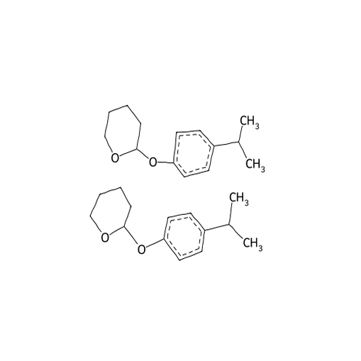 CC(C)c1ccc(OC2CCCCO2)cc1.CC(C)c1ccc(OC2CCCCO2)cc1